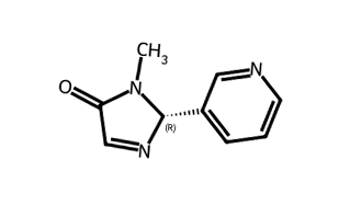 CN1C(=O)C=N[C@H]1c1cccnc1